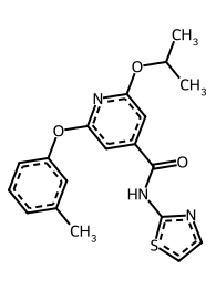 Cc1cccc(Oc2cc(C(=O)Nc3nccs3)cc(OC(C)C)n2)c1